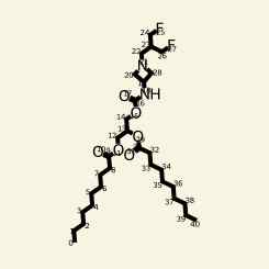 CCCCCCCCCC(=O)OCC(COC(=O)NC1CN(CC(CF)CF)C1)OC(=O)CCCCCCCCC